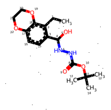 CCc1c(C(O)NNC(=O)OC(C)(C)C)ccc2c1OCCO2